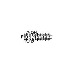 O=C(O)C(C(=O)O)(C(F)(F)C(F)(F)F)C(F)(F)C(F)(F)C(F)(F)C(F)(F)C(F)(F)C(F)(F)C(F)(F)F